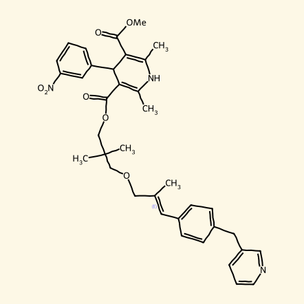 COC(=O)C1=C(C)NC(C)=C(C(=O)OCC(C)(C)COC/C(C)=C/c2ccc(Cc3cccnc3)cc2)C1c1cccc([N+](=O)[O-])c1